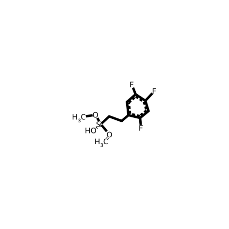 CO[Si](O)(CCc1cc(F)c(F)cc1F)OC